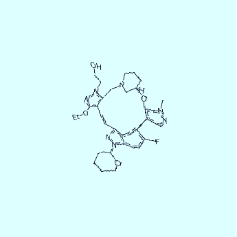 CCOc1nn(CCO)c2c1/C=C\c1nn(C3CCCCO3)c3cc(F)c(cc13)-c1cnn(C)c1O[C@@H]1CCCN(C2)C1